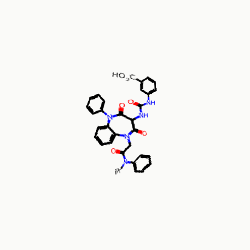 CC(C)N(C(=O)CN1C(=O)C(NC(=O)Nc2cccc(C(=O)O)c2)C(=O)N(c2ccccc2)c2ccccc21)c1ccccc1